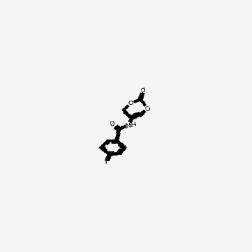 O=C1OC=C(NC(=O)c2ccc(I)cc2)CO1